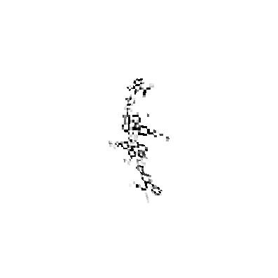 C#C/C(C#N)=C1\C(=C\c2nc3sc(-c4cc5c6c(ccc5s4)-c4cc5c(cc4C6(c4ccc(C)cc4)c4ccc(C)cc4)-c4ccc6sc(-c7nc8sc(C/C=C9\C(=O)c%10ccccc%10C9=C(C#N)C#N)nc8s7)cc6c4C5(c4ccc(C)cc4)c4ccc(C)cc4)nc3s2)C(=O)c2ccccc21